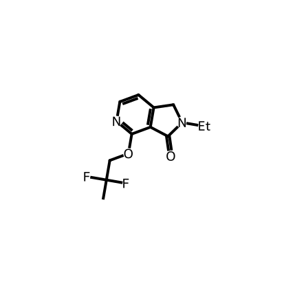 CCN1Cc2ccnc(OCC(C)(F)F)c2C1=O